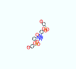 COc1ccc(CS(=O)(=O)Oc2cccc(NC(=O)Nc3ccccc3OS(=O)(=O)Cc3ccc(OC)cc3)c2)cc1